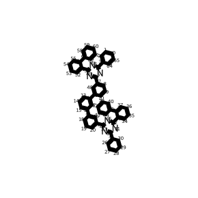 c1ccc(-c2nc(-c3cccc(-c4cccc(-c5cccc(-c6nc(-c7ccccc7)nc(-c7ccccc7-c7ccccc7)n6)c5)c4)c3)nc(-c3ccccc3-c3ccccc3)n2)cc1